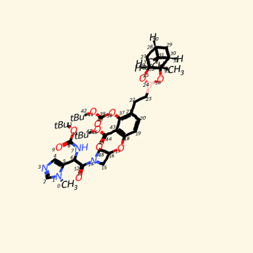 Cn1cncc1C(NC(=O)OC(C)(C)C)C(=O)N1CC(Oc2ccc(CCB3O[C@@H]4C[C@@H]5C[C@@H](C5(C)C)[C@]4(C)O3)c(OC(=O)OC(C)(C)C)c2C(=O)OC(C)(C)C)C1